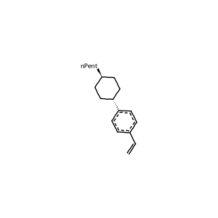 C=Cc1ccc([C@H]2CC[C@H](CCCCC)CC2)cc1